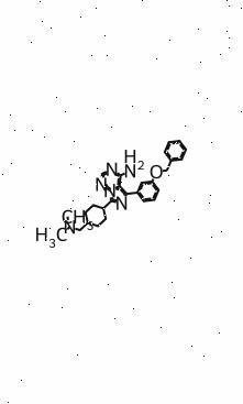 CN(C)CC1CCC(c2nc(-c3cccc(OCc4ccccc4)c3)c3c(N)ncnn23)CC1